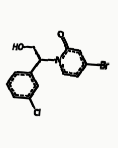 O=c1cc(Br)ccn1C(CO)c1cccc(Cl)c1